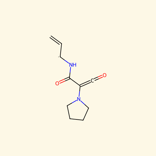 C=C[CH]NC(=O)C(=C=O)N1CCCC1